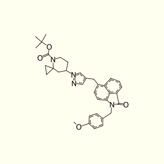 COc1ccc(CN2C(=O)c3cccc4c(Cc5cnn(C6CCN(C(=O)OC(C)(C)C)C7(CC7)C6)c5)ccc2c34)cc1